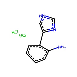 Cl.Cl.Nc1ccccc1-c1c[nH]cn1